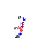 CC(C)CCOCCC(=O)NC(CCOCCOCCOCCn1cc(CCC(C)(C)C)nn1)CCOCCOCCOCCn1cc(CCC(C)(C)C)nn1